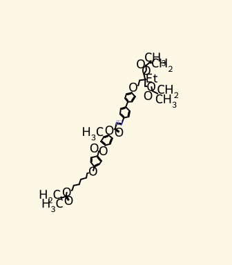 C=C(C)C(=O)OCCCCCCOc1ccc(C(=O)Oc2ccc(OC(=O)/C=C/c3ccc(-c4ccc(OCCC(CC)(COC(=O)C(=C)C)COC(=O)C(=C)C)cc4)cc3)c(C)c2)cc1